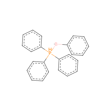 [B](c1ccccc1)[PH](c1ccccc1)(c1ccccc1)c1ccccc1